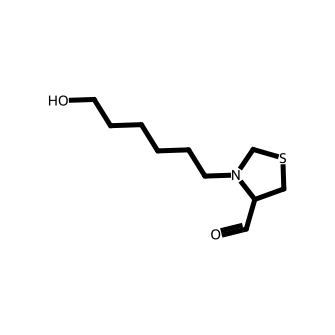 O=CC1CSCN1CCCCCCO